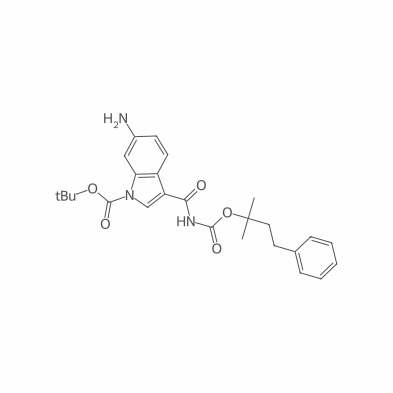 CC(C)(C)OC(=O)n1cc(C(=O)NC(=O)OC(C)(C)CCc2ccccc2)c2ccc(N)cc21